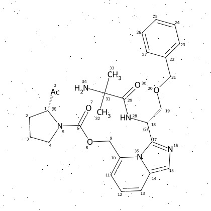 CC(=O)[C@H]1CCCN1C(=O)OCc1cccc2cnc([C@@H](COCc3ccccc3)NC(=O)C(C)(C)N)n12